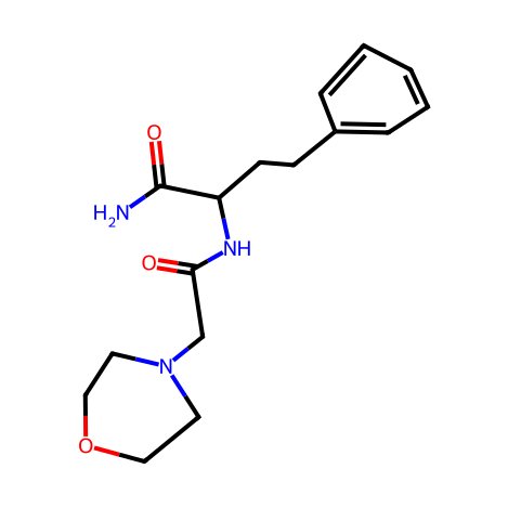 NC(=O)C(CCc1ccccc1)NC(=O)CN1CCOCC1